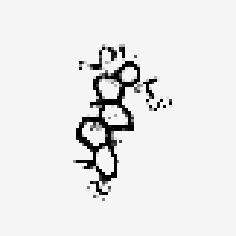 CC(O)[C@@H]1CC[C@]2(C(=O)O)CC[C@]3(C)C(CCC4[C@@]5(C)CC[C@H](O)C(C)(C)C5CC[C@]43C)C12